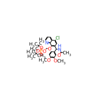 COc1ccc(C(NC(C)=O)c2cc(Cl)c3cccnc3c2OCOP(=O)(OC(C)(C)C)OC(C)(C)C)cc1OC